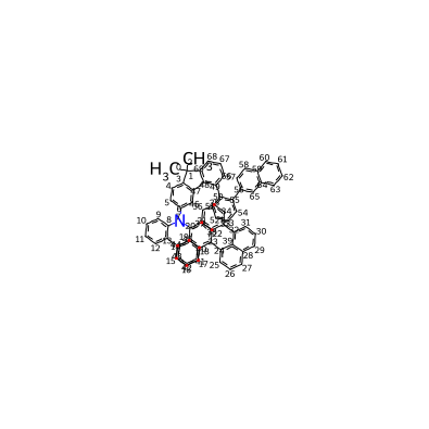 CC1(C)c2ccc(N(c3ccccc3-c3ccccc3)c3ccc(-c4cccc5cccc(-c6ccccc6)c45)c4ccccc34)cc2-c2c(-c3ccccc3-c3ccc4ccccc4c3)cccc21